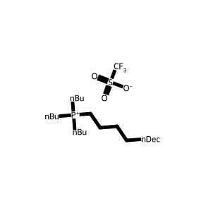 CCCCCCCCCCCCCC[P+](CCCC)(CCCC)CCCC.O=S(=O)([O-])C(F)(F)F